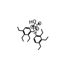 CCc1ccc([SiH]([O][Cr](=[O])(=[O])[OH])c2ccc(CC)c(CC)c2CC)c(CC)c1CC